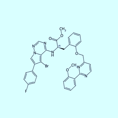 COC(=O)[C@@H](Cc1ccccc1OCc1ccnc(-c2ccccc2OC)n1)Nc1ncnn2cc(-c3ccc(F)cc3)c(Br)c12